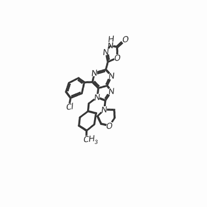 CC1CCC(Cn2c(N3CCOCC3)nc3nc(-c4n[nH]c(=O)o4)nc(-c4cccc(Cl)c4)c32)CC1